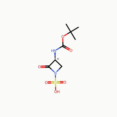 CC(C)(C)OC(=O)N[C@H]1CN(S(=O)(=O)O)C1=O